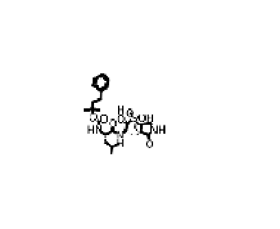 CC(C)C[C@H](NC(=O)OC(C)(C)CCc1ccccc1)C(=O)N[C@@H](C[C@@H]1CCNC1=O)C(O)S(=O)(=O)O